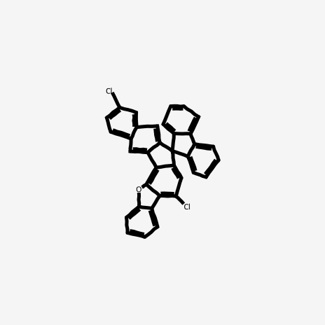 Clc1ccc2cc3c(cc2c1)C1(c2ccccc2-c2ccccc21)c1cc(Cl)c2c(oc4ccccc42)c1-3